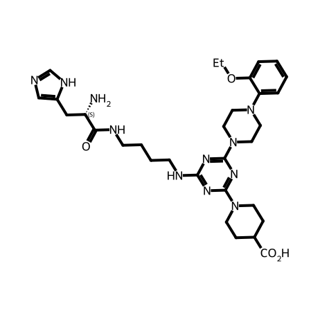 CCOc1ccccc1N1CCN(c2nc(NCCCCNC(=O)[C@@H](N)Cc3cnc[nH]3)nc(N3CCC(C(=O)O)CC3)n2)CC1